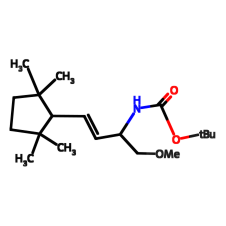 COCC(C=CC1C(C)(C)CCC1(C)C)NC(=O)OC(C)(C)C